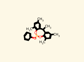 Cc1cc(C)c2c(c1)C(C)c1cc(C)cc(C)c1OP(Oc1ccccc1)O2